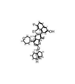 CCc1c(F)ccc2cc(O)cc(-c3ncc4c(N5CCCOCC5)nc(OC[C@@]56CCCN[C@@H]5CCC6)nc4c3F)c12